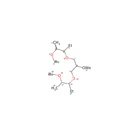 CCC(C)OC(C)C(CC)OCC(COC(CC)C(C)OC(C)CC)OC